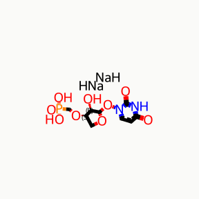 O=c1ccn(OC2OC[C@H](OCP(=O)(O)O)[C@H]2O)c(=O)[nH]1.[NaH].[NaH]